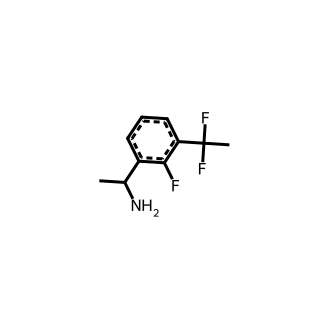 CC(N)c1cccc(C(C)(F)F)c1F